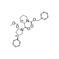 COC(=O)[C@@H]1CCCN(C(=O)OCc2ccccc2)C1C(=O)N1CC[C@H](c2ccccc2)C1